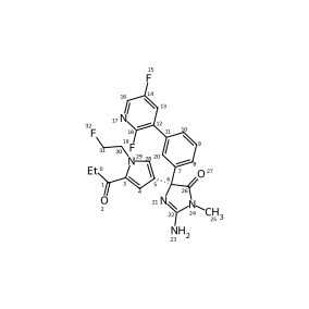 CCC(=O)c1cc([C@@]2(c3cccc(-c4cc(F)cnc4F)c3)N=C(N)N(C)C2=O)cn1CCF